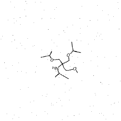 COCC(COC(C)C)(COC(C)C)NC(C)C